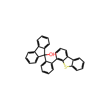 OC1(c2ccccc2-c2cccc3c2sc2ccccc23)c2ccccc2-c2ccccc21